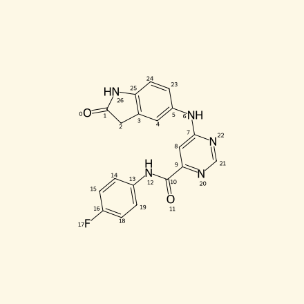 O=C1Cc2cc(Nc3cc(C(=O)Nc4ccc(F)cc4)ncn3)ccc2N1